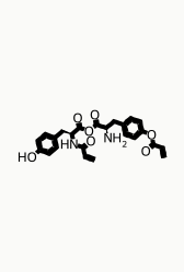 C=CC(=O)N[C@@H](Cc1ccc(O)cc1)C(=O)OC(=O)[C@@H](N)Cc1ccc(OC(=O)C=C)cc1